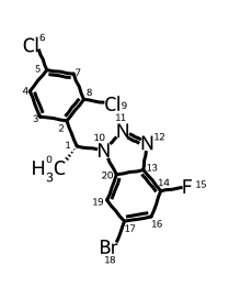 C[C@H](c1ccc(Cl)cc1Cl)n1nnc2c(F)cc(Br)cc21